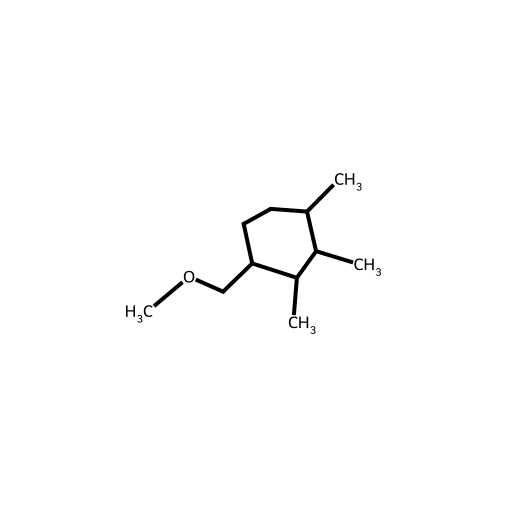 COCC1CCC(C)C(C)C1C